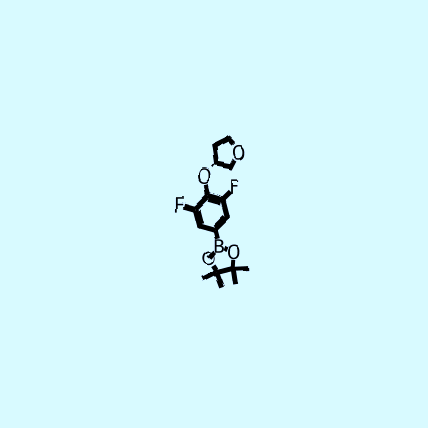 CC1(C)OB(c2cc(F)c(O[C@@H]3CCOC3)c(F)c2)OC1(C)C